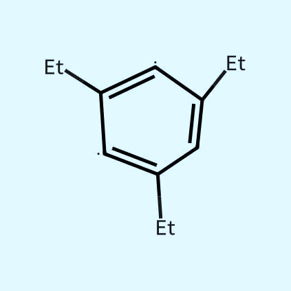 CCc1[c]c(CC)cc(CC)[c]1